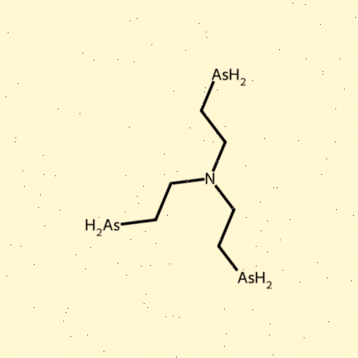 [AsH2]CCN(CC[AsH2])CC[AsH2]